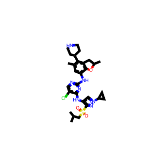 Cc1cc(Nc2ncc(Cl)c(Nc3cn(C4CC4)nc3S(=O)(=O)CC(C)C)n2)c2c(c1C1CCNCC1)CC(C)O2